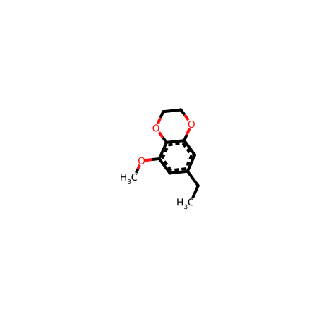 CCc1cc(OC)c2c(c1)OCCO2